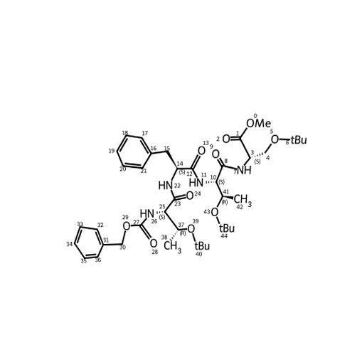 COC(=O)[C@H](COC(C)(C)C)NC(=O)[C@@H](NC(=O)[C@H](Cc1ccccc1)NC(=O)[C@@H](NC(=O)OCc1ccccc1)[C@@H](C)OC(C)(C)C)[C@@H](C)OC(C)(C)C